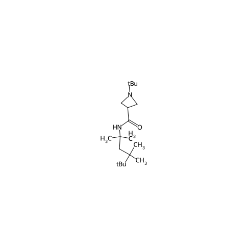 CC(C)(CC(C)(C)C(C)(C)C)NC(=O)C1CN(C(C)(C)C)C1